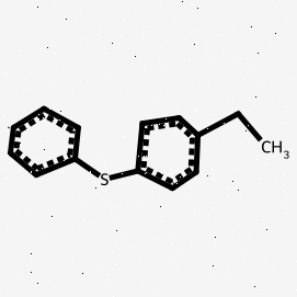 CCc1ccc(Sc2cc[c]cc2)cc1